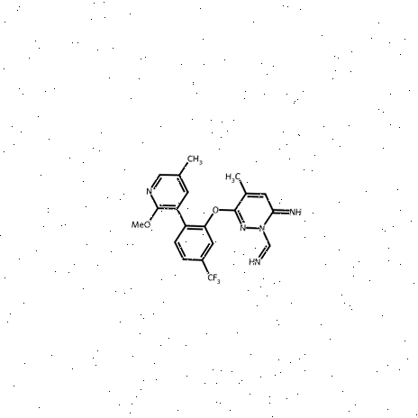 COc1ncc(C)cc1-c1ccc(C(F)(F)F)cc1Oc1nn(C=N)c(=N)cc1C